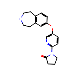 O=C1CCCN1c1ccc(Oc2ccc3c(c2)CCNCC3)cn1